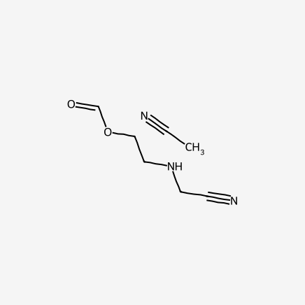 CC#N.N#CCNCCOC=O